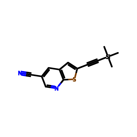 C[Si](C)(C)C#Cc1cc2cc(C#N)cnc2s1